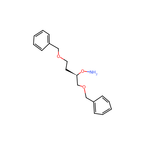 NO[C@H](CCOCc1ccccc1)COCc1ccccc1